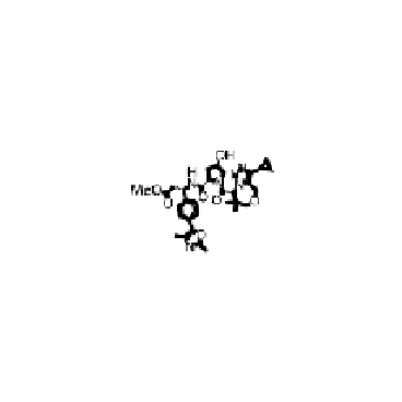 COC(=O)C[C@H](NC(=O)[C@@H]1C[C@@H](O)CN1C(=O)[C@H]1n2nnc(C3CC3)c2COCC1(C)C)c1ccc(-c2oc(C)nc2C)cc1